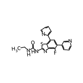 CCNC(=O)Nc1nc2c(F)c(-c3cccnc3)cc(-c3ccccn3)c2s1